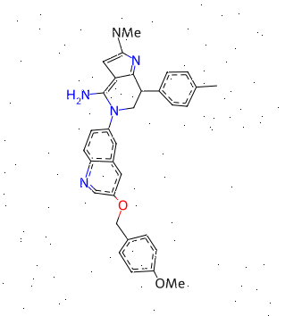 CNC1=CC2=C(N)N(c3ccc4ncc(OCc5ccc(OC)cc5)cc4c3)CC(c3ccc(C)cc3)C2=N1